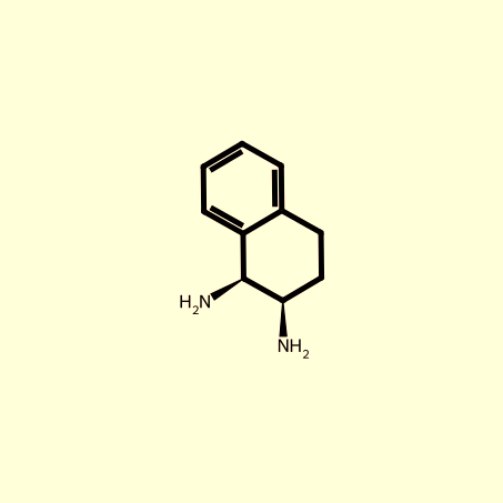 N[C@@H]1CCc2ccccc2[C@@H]1N